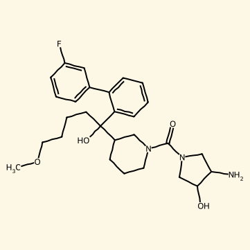 COCCCCC(O)(c1ccccc1-c1cccc(F)c1)C1CCCN(C(=O)N2CC(N)C(O)C2)C1